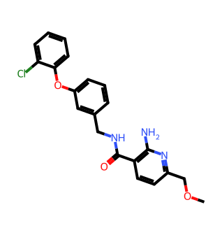 COCc1ccc(C(=O)NCc2cccc(Oc3ccccc3Cl)c2)c(N)n1